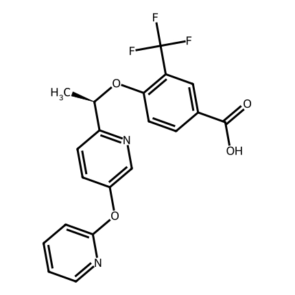 C[C@@H](Oc1ccc(C(=O)O)cc1C(F)(F)F)c1ccc(Oc2ccccn2)cn1